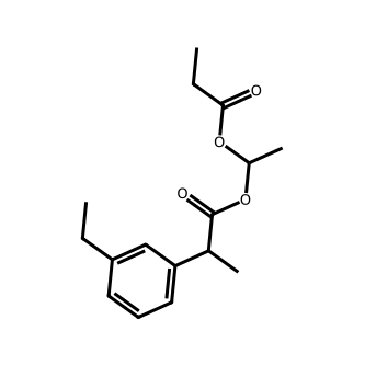 CCC(=O)OC(C)OC(=O)C(C)c1cccc(CC)c1